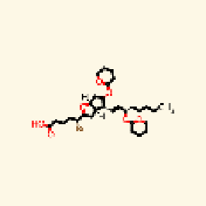 CCCCC[C@@H](/C=C/[C@@H]1[C@H]2CC([C@@H](Br)CCCC(=O)O)O[C@H]2C[C@H]1OC1CCCCO1)OC1CCCCO1